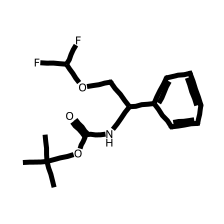 CC(C)(C)OC(=O)NC(COC(F)F)c1ccccc1